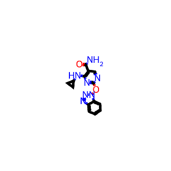 NC(=O)c1cnc(On2nnc3ccccc32)nc1NC1CC1